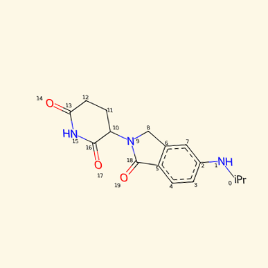 CC(C)Nc1ccc2c(c1)CN(C1CCC(=O)NC1=O)C2=O